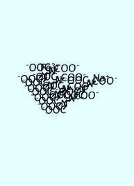 O=C([O-])CN(CCN(CC(=O)[O-])CC(=O)[O-])CC(=O)[O-].O=C([O-])CN(CCN(CC(=O)[O-])CC(=O)[O-])CC(=O)[O-].O=C([O-])CN(CCN(CC(=O)[O-])CC(=O)[O-])CC(=O)[O-].O=C([O-])CN(CCN(CC(=O)[O-])CC(=O)[O-])CC(=O)[O-].O=C([O-])CN(CCN(CC(=O)[O-])CC(=O)[O-])CC(=O)[O-].[Fe+3].[Na+]